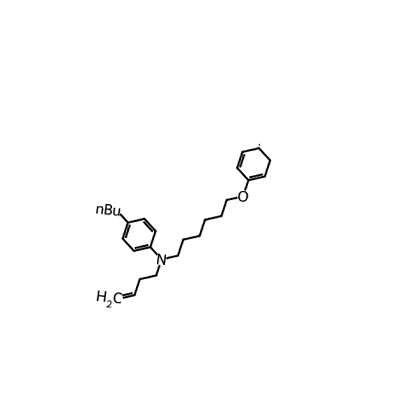 C=CCCN(CCCCCCOC1=CC[CH]C=C1)c1ccc(CCCC)cc1